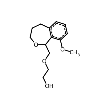 COc1cccc2c1C(COCCO)OCCC2